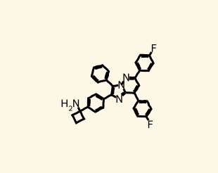 NC1(c2ccc(-c3nc4c(-c5ccc(F)cc5)cc(-c5ccc(F)cc5)nn4c3-c3ccccc3)cc2)CCC1